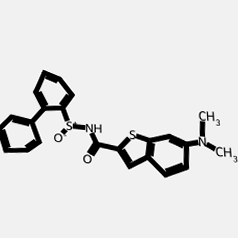 CN(C)c1ccc2cc(C(=O)N[S+]([O-])c3ccccc3-c3ccccc3)sc2c1